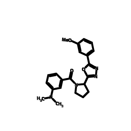 COc1cccc(-c2nnc(C3CCCN3C(=O)c3cccc(N(C)C)c3)o2)c1